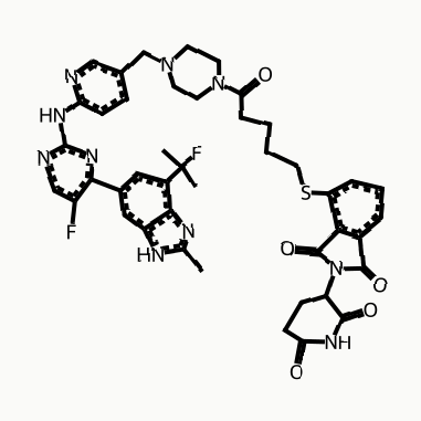 Cc1nc2c(C(C)(C)F)cc(-c3nc(Nc4ccc(CN5CCN(C(=O)CCCCSc6cccc7c6C(=O)N(C6CCC(=O)NC6=O)C7=O)CC5)cn4)ncc3F)cc2[nH]1